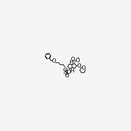 COC(=O)[C@@H]1[C@@H]2C[C@@H](CCCCCOCc3ccccc3)[C@@H](OS(C)(=O)=O)[C@@H]2C[C@@H]1OC1CCCCO1